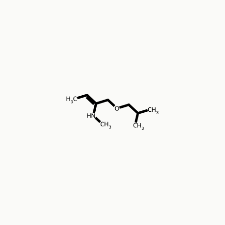 CC=C(COCC(C)C)NC